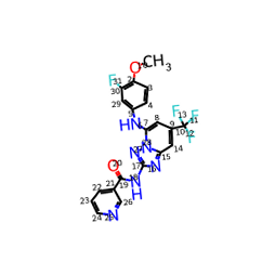 COc1ccc(Nc2cc(C(F)(F)F)cc3nc(NC(=O)c4cccnc4)nn23)cc1F